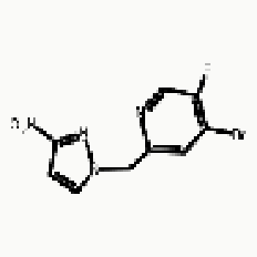 O=[N+]([O-])c1ccn(Cc2cc(Br)c(F)cn2)n1